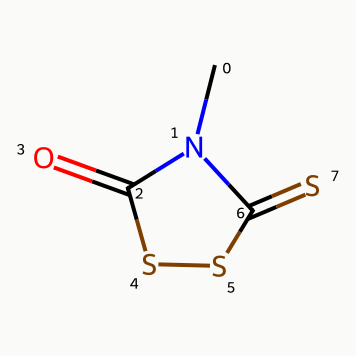 Cn1c(=O)ssc1=S